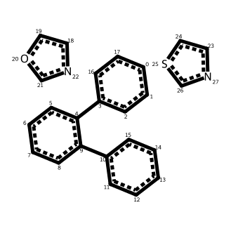 c1ccc(-c2ccccc2-c2ccccc2)cc1.c1cocn1.c1cscn1